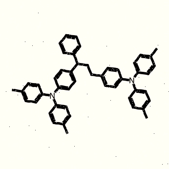 Cc1ccc(N(c2ccc(C)cc2)c2ccc(CCC(c3ccccc3)c3ccc(N(c4ccc(C)cc4)c4ccc(C)cc4)cc3)cc2)cc1